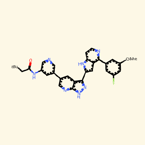 COc1cc(F)cc(-c2nccc3[nH]c(-c4n[nH]c5ncc(-c6cncc(NC(=O)CC(C)(C)C)c6)cc45)cc23)c1